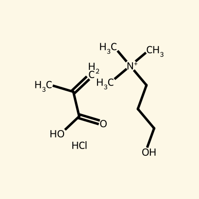 C=C(C)C(=O)O.C[N+](C)(C)CCCO.Cl